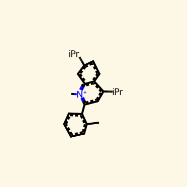 Cc1ccccc1-c1cc(C(C)C)c2ccc(C(C)C)cc2[n+]1C